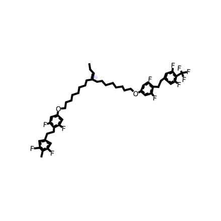 CC/C=C(\CCCCCCCCOc1cc(F)c(CCc2cc(F)c(C)c(F)c2)c(F)c1)CCCCCCCCOc1cc(F)c(CCc2cc(F)c(C(F)(F)F)c(F)c2)c(F)c1